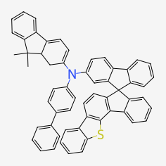 CC1(C)c2ccccc2C2=CC=C(N(c3ccc(-c4ccccc4)cc3)c3ccc4c(c3)C3(c5ccccc5-4)c4ccccc4-c4c3ccc3c4sc4ccccc43)CC21